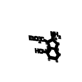 CCOC(=O)C1c2c(O)cccc2CC1N